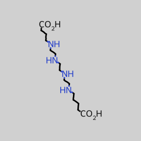 O=C(O)CCCCNCCNCCNCCNCCCC(=O)O